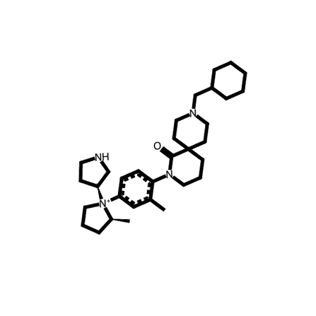 Cc1cc([N+]2([C@H]3CCNC3)CCC[C@@H]2C)ccc1N1CCCC2(CCN(CC3CCCCC3)CC2)C1=O